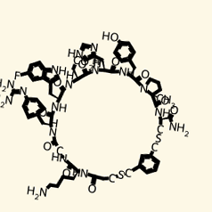 C[C@@]12CCCN1C(=O)[C@H](Cc1ccc(O)cc1)NC(=O)[C@H](Cc1c[nH]cn1)NC(=O)[C@H](CC(=O)O)NC(=O)[C@H](Cc1c[nH]c3ccc(F)cc13)NC(=O)[C@H](Cc1ccc(N=C(N)N)cc1)NC(=O)CNC(=O)[C@H](CCCCN)NC(=O)CCSCc1cccc(c1)CSC[C@H](C(N)=O)NC2=O